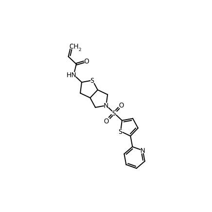 C=CC(=O)NC1CC2CN(S(=O)(=O)c3ccc(-c4ccccn4)s3)CC2S1